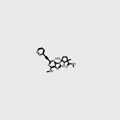 CNC(=O)C1(C)CC[C@](O)(n2cnc3c(NC)nc(C#Cc4cccnn4)nc32)[C@@H]1O